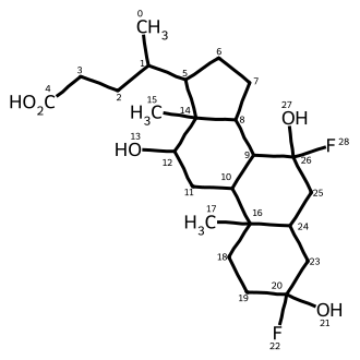 CC(CCC(=O)O)C1CCC2C3C(CC(O)C12C)C1(C)CCC(O)(F)CC1CC3(O)F